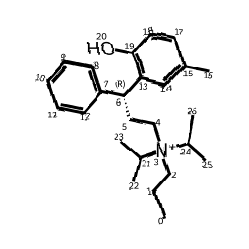 CCC[N+](CC[C@H](c1ccccc1)c1cc(C)ccc1O)(C(C)C)C(C)C